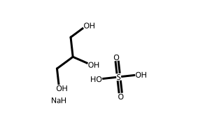 O=S(=O)(O)O.OCC(O)CO.[NaH]